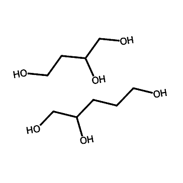 OCCC(O)CO.OCCCC(O)CO